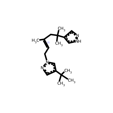 C/C(=C\Cn1cc(C(C)(C)C)cn1)CC(C)(C)c1cn[nH]c1